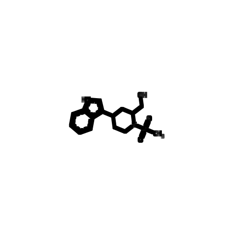 CS(=O)(=O)N1CCC(c2c[nH]c3ccccc23)CC1CO